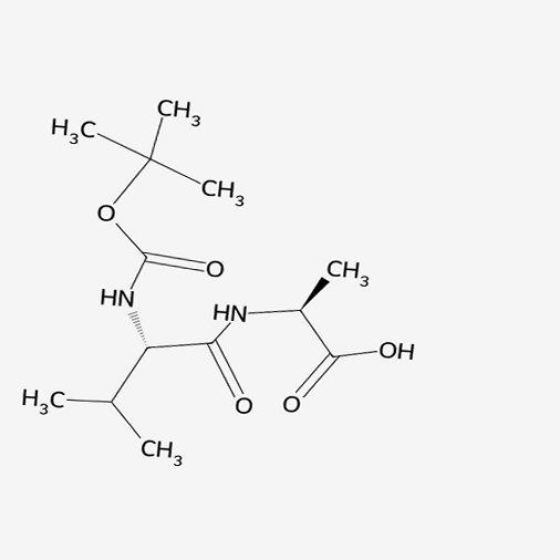 CC(C)[C@H](NC(=O)OC(C)(C)C)C(=O)N[C@@H](C)C(=O)O